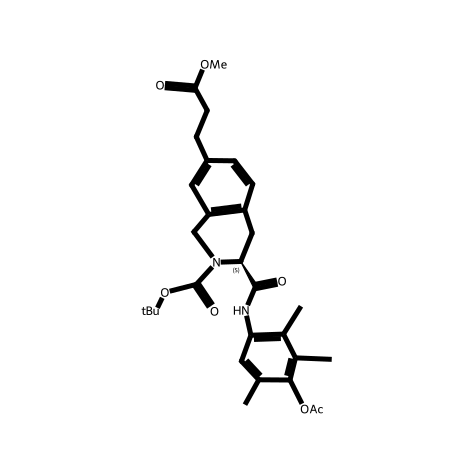 COC(=O)CCc1ccc2c(c1)CN(C(=O)OC(C)(C)C)[C@H](C(=O)Nc1cc(C)c(OC(C)=O)c(C)c1C)C2